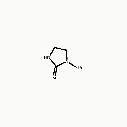 CCCN1CCNC1=[Se]